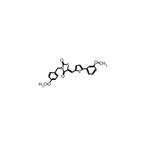 COc1ccc(CN2C(=O)S/C(=C\c3ccc(-c4cccc(OC)c4)s3)C2=O)cc1